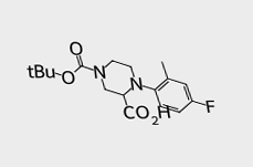 Cc1cc(F)ccc1N1CCN(C(=O)OC(C)(C)C)CC1C(=O)O